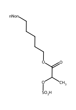 CCCCCCCCCCCCCCOC(=O)C(C)OS(=O)(=O)O